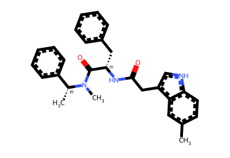 Cc1ccc2[nH]cc(CC(=O)N[C@@H](Cc3ccccc3)C(=O)N(C)[C@H](C)c3ccccc3)c2c1